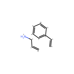 C=CCN.C=Cc1ccccc1